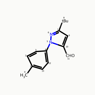 Cc1ccc(-n2nc(C(C)(C)C)cc2C=O)cc1